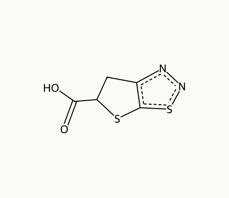 O=C(O)C1Cc2nnsc2S1